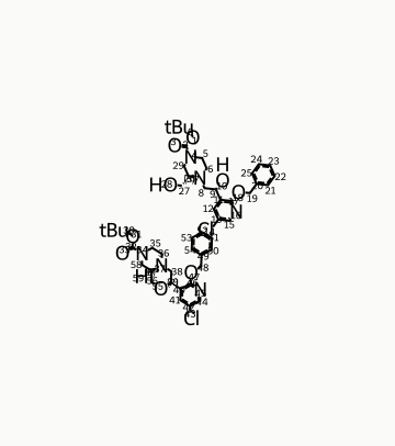 CC(C)(C)OC(=O)N1CCN(CC(O)c2cc(Cl)cnc2OCc2ccccc2)[C@H](CO)C1.CC(C)(C)OC(=O)N1CCN2C[C@@H](c3cc(Cl)cnc3OCc3ccccc3)OC[C@@H]2C1